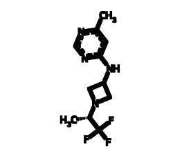 Cc1cc(NC2CN([C@@H](C)C(F)(F)F)C2)ncn1